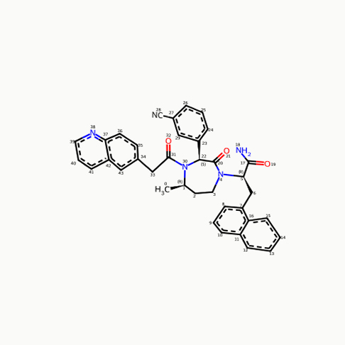 C[C@@H]1CCN([C@H](Cc2cccc3ccccc23)C(N)=O)C(=O)[C@H](c2cccc(C#N)c2)N1C(=O)Cc1ccc2ncccc2c1